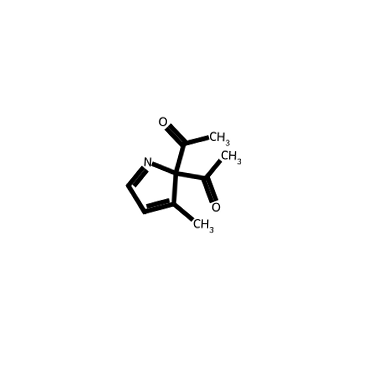 CC(=O)C1(C(C)=O)N=CC=C1C